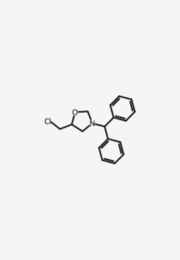 ClCC1CN(C(c2ccccc2)c2ccccc2)CO1